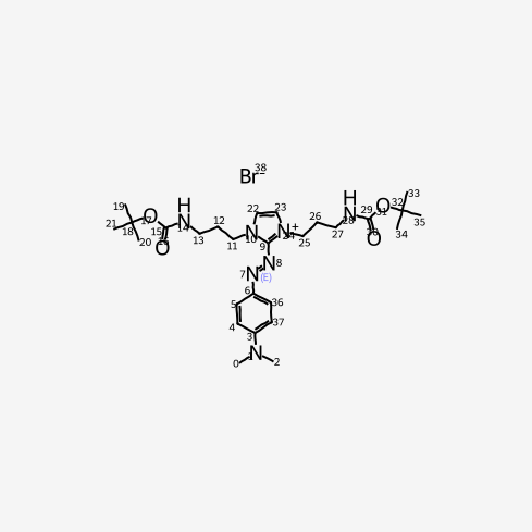 CN(C)c1ccc(/N=N/c2n(CCCNC(=O)OC(C)(C)C)cc[n+]2CCCNC(=O)OC(C)(C)C)cc1.[Br-]